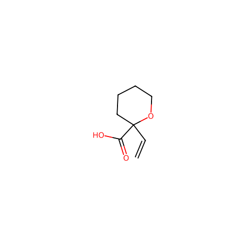 C=CC1(C(=O)O)CCCCO1